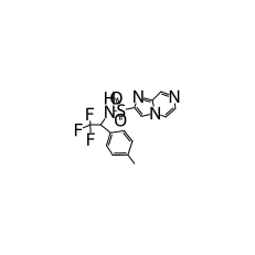 Cc1ccc(C(NS(=O)(=O)c2cn3ccncc3n2)C(F)(F)F)cc1